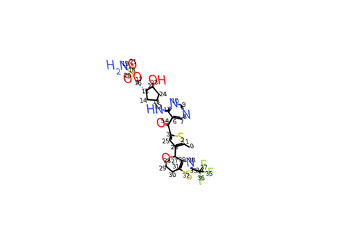 Cc1sc(C(=O)c2cncnc2N[C@@H]2C[C@H](COS(N)(=O)=O)[C@@H](O)C2)cc1C1OCCc2sc(C(F)(F)F)nc21